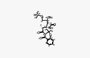 C[C@@H](C(=O)N1C(=O)c2ccccc2OC1(C)C)[C@H]1NC(=O)[C@H]1[C@@H](CO[SiH](C)C)C(C)(C)C